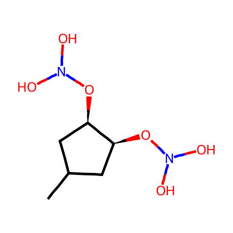 CC1C[C@H](ON(O)O)[C@H](ON(O)O)C1